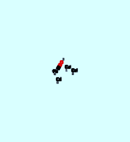 [Cd].[Ga].[Ge].[O]=[Pb]